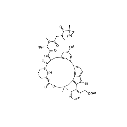 CCn1c(-c2cnccc2COC)c2c3cc(ccc31)-c1cc(O)cc(c1)C[C@H](NC(=O)[C@H](C(C)C)N(C)C(=O)CN(C)C(=O)[C@]1(C)CN1)C(=O)N1CCC[C@H](N1)C(=O)OCC(C)(C)C2